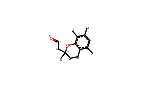 Cc1cc(C)c2c(c1C)OC(C)(CC=O)CC2